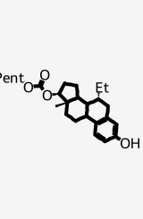 CCCCCOC(=O)O[C@H]1CCC2C3C(CC[C@@]21C)c1ccc(O)cc1C[C@H]3CC